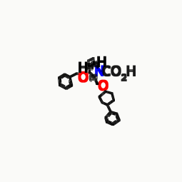 O=C(O)N1[C@@H]2CC[C@@H]2C(OCc2ccccc2)[C@@H]1COC1CCC(c2ccccc2)CC1